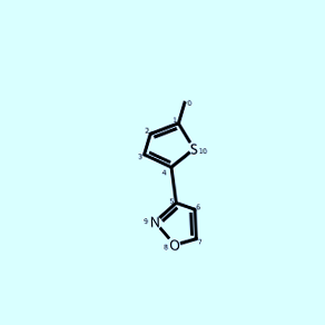 Cc1ccc(-c2ccon2)s1